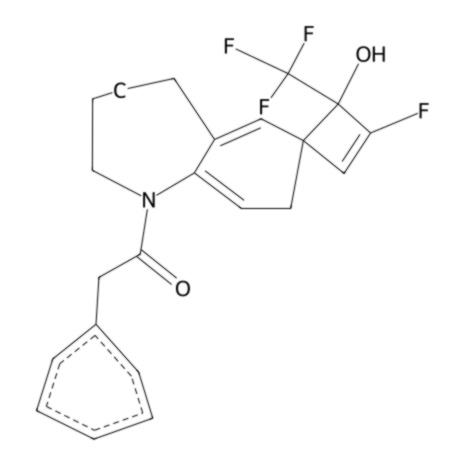 O=C(Cc1ccccc1)N1CCCCC2=CC3(C=C(F)C3(O)C(F)(F)F)CC=C21